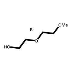 COCCOCCO.[K]